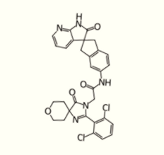 O=C(CN1C(=O)C2(CCOCC2)N=C1c1c(Cl)cccc1Cl)Nc1ccc2c(c1)CC1(C2)C(=O)Nc2ncccc21